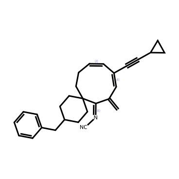 C=C1/C=C(C#CC2CC2)\C=C/CCC2(CCC(Cc3ccccc3)CC2)/C1=N\C#N